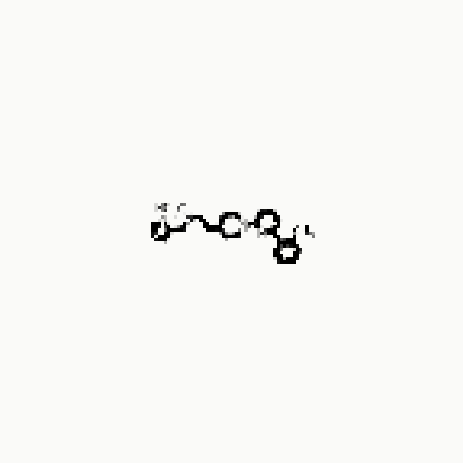 Cc1ccccc1-c1cccc(N2CCC(CCN(Cc3cscn3)C(=O)O)CC2)n1